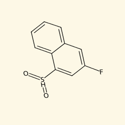 O=[SH](=O)c1cc(F)cc2ccccc12